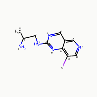 NC(CNc1ncc2cncc(I)c2n1)C(F)(F)F